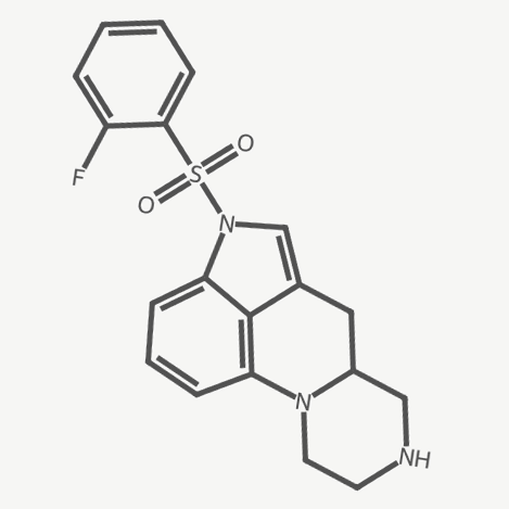 O=S(=O)(c1ccccc1F)n1cc2c3c(cccc31)N1CCNCC1C2